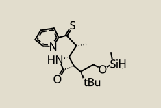 C[C@@H](C(=S)c1ccccn1)[C@H]1NC(=O)[C@H]1[C@@H](CO[SiH](C)C)C(C)(C)C